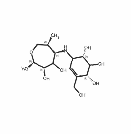 C[C@@H]1CO[C@H](O)[C@H](O)C(O)[C@@H]1NC1C=C(CO)[C@@H](O)C(O)[C@H]1O